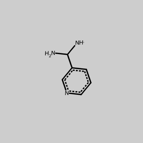 [NH]C(N)c1cccnc1